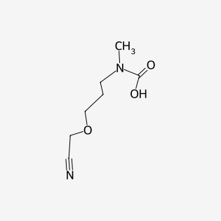 CN(CCCOCC#N)C(=O)O